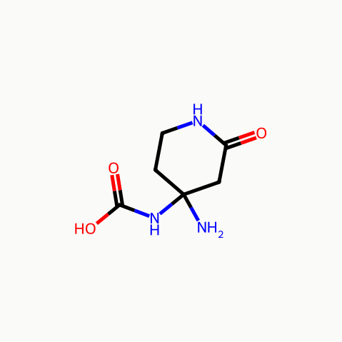 NC1(NC(=O)O)CCNC(=O)C1